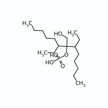 CCCCCC(CC)C(CO)(OP(=O)(O)O)C(CC)CCCCC